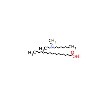 CCCCCCCCCCCCCCCCCC(=O)O.CCCCCCCCN(CCC)CCC